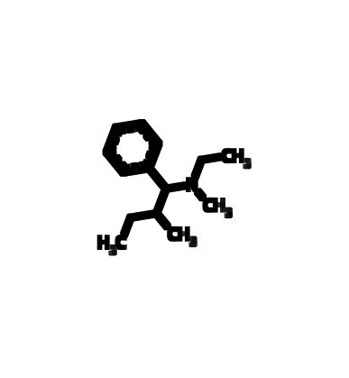 CCC(C)C(c1ccccc1)N(C)CC